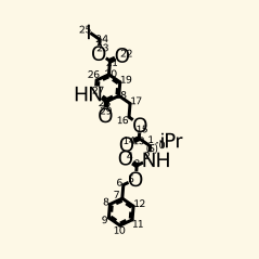 CC(C)[C@H](NC(=O)OCc1ccccc1)C(=O)OCCc1cc(C(=O)OCI)c[nH]c1=O